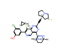 C[C@@H]1C[C@H]1c1c(Cl)cc(O)cc1-c1ncc2c(N3C[C@H]4CC[C@@H]3CN4)nc(C#C[C@@]34CCCN3C[C@H](F)C4)nc2c1F